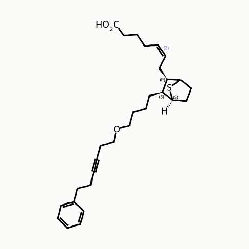 O=C(O)CCC/C=C\C[C@H]1C2CC[C@H](S2)[C@H]1CCCCOCCC#CCCc1ccccc1